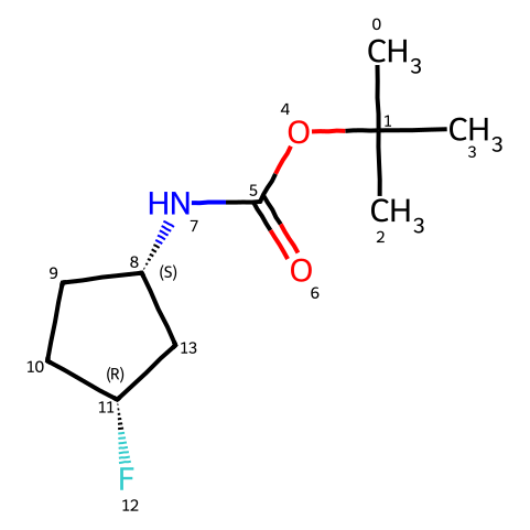 CC(C)(C)OC(=O)N[C@H]1CC[C@@H](F)C1